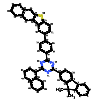 CC1(C)c2ccccc2-c2ccc(-c3nc(-c4ccc(-c5ccc6sc7cc8ccccc8cc7c6c5)cc4)nc(-c4cccc5ccccc45)n3)cc21